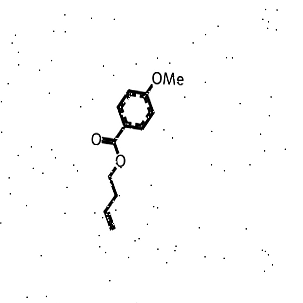 C=CCCOC(=O)c1ccc(OC)cc1